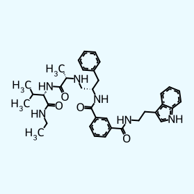 CCNC(=O)[C@@H](NC(=O)[C@H](C)NC[C@H](Cc1ccccc1)NC(=O)c1cccc(C(=O)NCCc2c[nH]c3ccccc23)c1)C(C)C